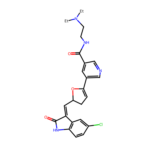 CCN(CC)CCNC(=O)c1cncc(C2=CCC(/C=C3/C(=O)Nc4ccc(Cl)cc43)O2)c1